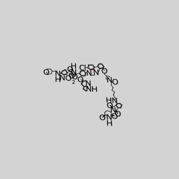 O=C1CCC(N2C(=O)c3cccc(NCCCCCCC(=O)N4CC(COc5cccc(-c6ccc(Cl)cc6)c5CN5CCN(c6ccc(C(=O)NS(=O)(=O)c7ccc(NCC8CCOCC8)c([N+](=O)[O-])c7)c(Oc7cnc8[nH]ccc8c7)c6)CC5)C4)c3C2=O)C(=O)N1